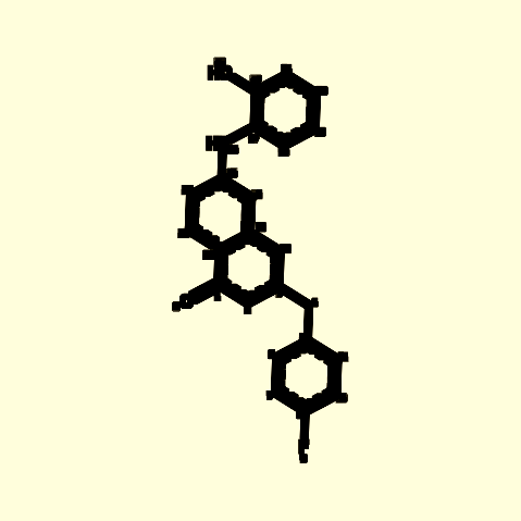 O=c1cc(Cc2ccc(F)cc2)cc2cc(Nc3ccccc3O)ccn12